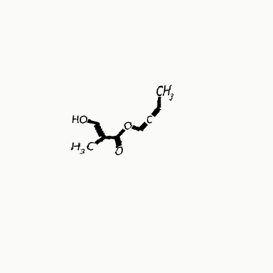 CC=C=COC(=O)C(C)=CO